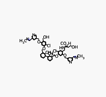 C/N=C/c1cncc(COc2cc(OCc3cccc(-c4cccc(COc5cc(OCc6cncc(/C=N/C)c6)c(CN[C@@H](CCO)C(=O)O)cc5Cl)c4C)c3C)c(Cl)cc2CO)c1